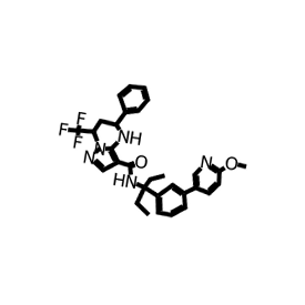 CCC(CC)(NC(=O)c1cnn2c1NC(c1ccccc1)CC2C(F)(F)F)c1cccc(-c2ccc(OC)nc2)c1